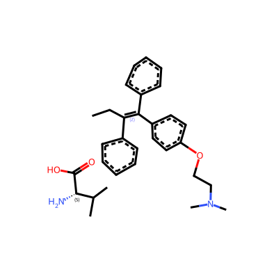 CC(C)[C@H](N)C(=O)O.CC/C(=C(\c1ccccc1)c1ccc(OCCN(C)C)cc1)c1ccccc1